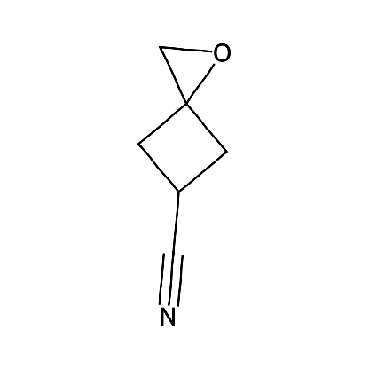 N#CC1CC2(CO2)C1